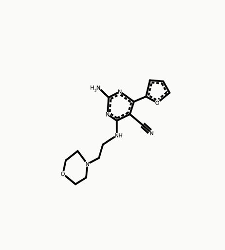 N#Cc1c(NCCN2CCOCC2)nc(N)nc1-c1ccco1